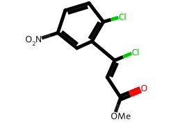 COC(=O)C=C(Cl)c1cc([N+](=O)[O-])ccc1Cl